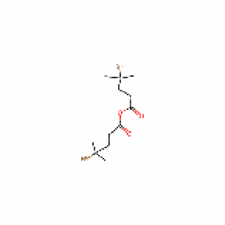 CC(C)(S)CCC(=O)OC(=O)CCC(C)(C)S